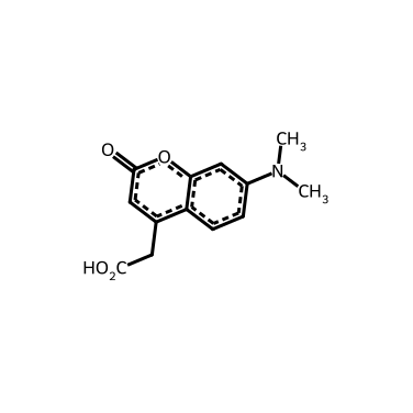 CN(C)c1ccc2c(CC(=O)O)cc(=O)oc2c1